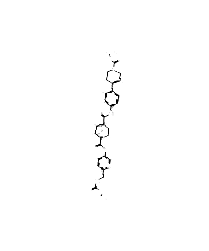 CC(C)(C)OC(=O)NCc1ccc(NC(=O)C23CCC(C(=O)Nc4ccc(C5=CCN(C(=O)OC(C)(C)C)CC5)cc4)(CC2)CC3)cn1